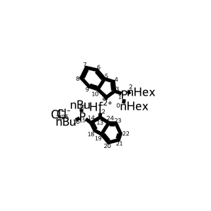 CCCCCCP(CCCCCC)C1=Cc2ccccc2[CH]1[Hf+2][CH]1C(P(CCCC)CCCC)=Cc2ccccc21.[Cl-].[Cl-]